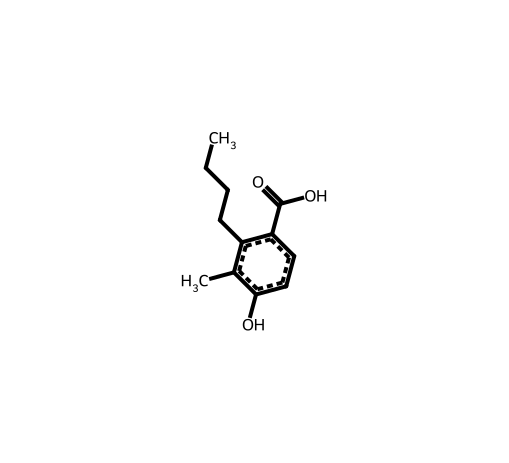 CCCCc1c(C(=O)O)ccc(O)c1C